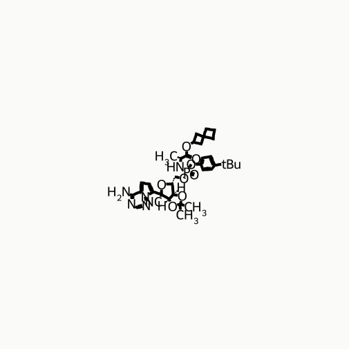 C[C@H](NP(=O)(OC[C@H]1O[C@@](C#N)(c2ccc3c(N)ncnn23)[C@@H]2OC(C)(C)O[C@@H]21)Oc1ccc(C(C)(C)C)cc1)C(=O)OC1CC2(CCC2)C1